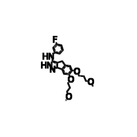 COCCCOc1cc2c(cc1OCCCOC)-c1n[nH]c(Nc3cccc(F)c3)c1C2